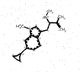 C=C(C)C(Cc1cn(C)c2cc(C3CC3)ccc12)NC